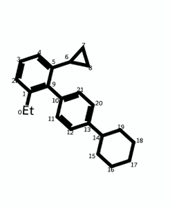 CCc1[c]ccc(C2CC2)c1-c1ccc(C2CCCCC2)cc1